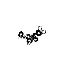 O=C(Cc1ccc(Cl)c(Cl)c1)N1CCN(Cc2ccccn2)C2COC[C@H](N3CCCC3)[C@H]21